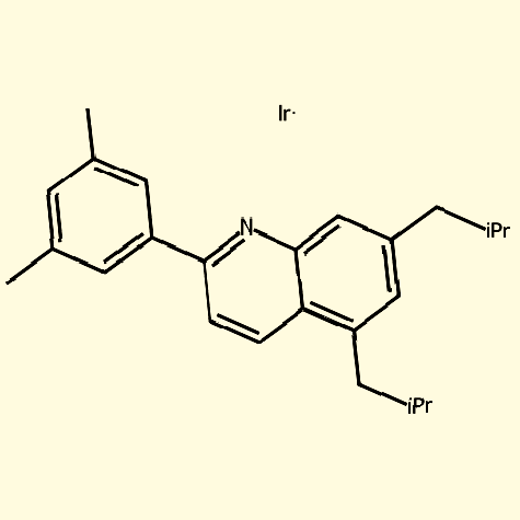 Cc1cc(C)cc(-c2ccc3c(CC(C)C)cc(CC(C)C)cc3n2)c1.[Ir]